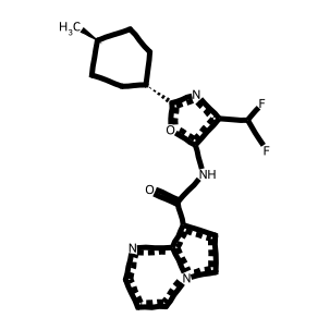 C[C@H]1CC[C@H](c2nc(C(F)F)c(NC(=O)c3ccn4cccnc34)o2)CC1